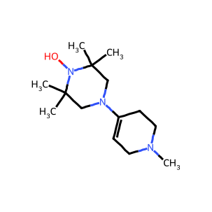 CN1CC=C(N2CC(C)(C)N(O)C(C)(C)C2)CC1